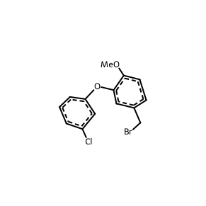 COc1ccc(CBr)cc1Oc1cccc(Cl)c1